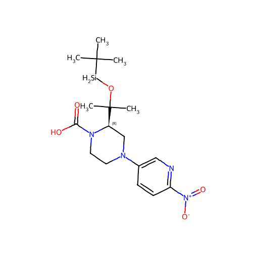 CC(C)(C)[SiH2]OC(C)(C)[C@H]1CN(c2ccc([N+](=O)[O-])nc2)CCN1C(=O)O